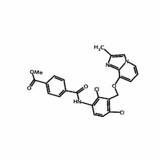 COC(=O)c1ccc(C(=O)Nc2ccc(Cl)c(COc3cccn4cc(C)nc34)c2Cl)cc1